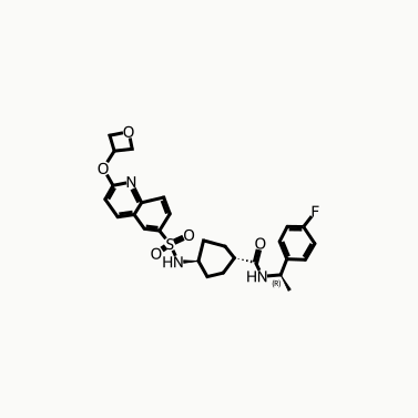 C[C@@H](NC(=O)[C@H]1CC[C@H](NS(=O)(=O)c2ccc3nc(OC4COC4)ccc3c2)CC1)c1ccc(F)cc1